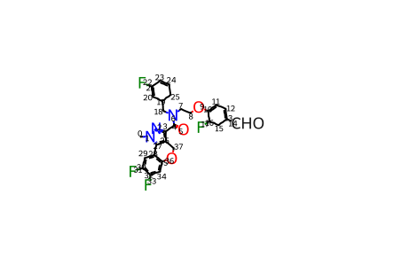 Cn1nc(C(=O)N(CCOC2=CC=C(C=O)CC2F)CC2C=C(F)C=CC2)c2c1-c1cc(F)c(F)cc1OC2